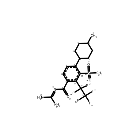 CC1CCC(c2ccc(C(=O)N=C(N)N)c(C(F)(F)C(F)(F)F)c2S(C)(=O)=O)CC1